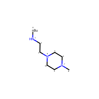 CCCCNCCN1CCN(C)CC1